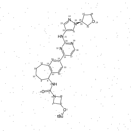 CC(C)(C)OC1CN(C(=O)NC2CCCCc3cc(-c4ccnc(Nc5cnn([C@H]6CCOC6)c5)n4)ccc32)C1